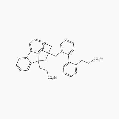 CCOC(=O)CCc1ccccc1-c1ccccc1CC1(CC2(CCC(=O)OCC)c3ccccc3-c3ccccc32)COC1